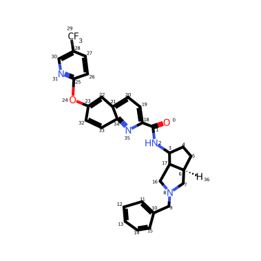 O=C(NC1CC[C@H]2CN(Cc3ccccc3)CC12)c1ccc2cc(Oc3ccc(C(F)(F)F)cn3)ccc2n1